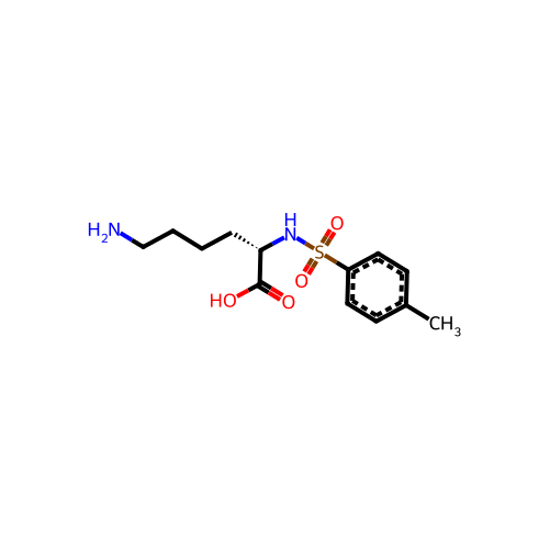 Cc1ccc(S(=O)(=O)N[C@@H](CCCCN)C(=O)O)cc1